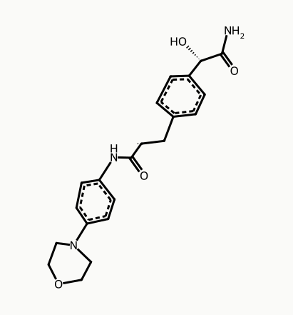 NC(=O)[C@@H](O)c1ccc(C[CH]C(=O)Nc2ccc(N3CCOCC3)cc2)cc1